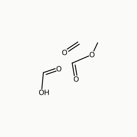 C=O.COC=O.O=CO